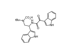 CC(C)(C)N(CC(NC(=O)C(=O)c1c[nH]c2ccccc12)c1c[nH]c2ccccc12)C(=O)O